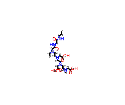 CCCNC(=O)CNC(=O)CN(CC)CCN(CCN(CCN(C)CC(=O)O)CC(=O)O)CC(=O)O